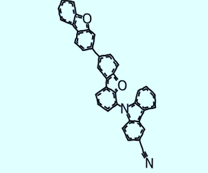 N#Cc1ccc2c(c1)c1ccccc1n2-c1cccc2c1oc1ccc(-c3ccc4c(c3)oc3ccccc34)cc12